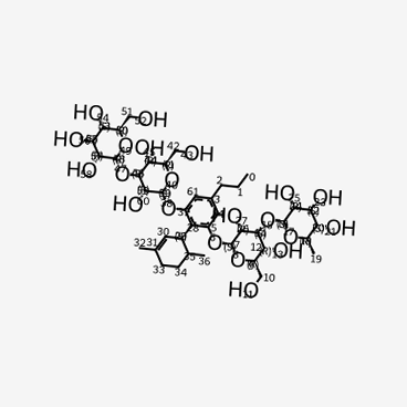 CCCc1cc(O[C@@H]2O[C@H](CO)[C@@H](O)[C@H](O[C@@H]3O[C@H](C)[C@@H](O)[C@H](O)[C@H]3O)[C@H]2O)c([C@@H]2C=C(C)CCC2C)c(O[C@@H]2O[C@H](CO)[C@@H](O)[C@H](O[C@H]3O[C@H](CO)[C@@H](O)[C@H](O)[C@H]3O)[C@H]2O)c1